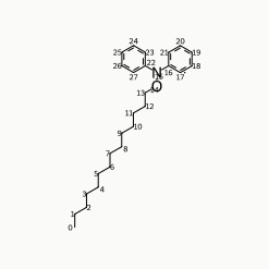 CCCCCCCCCCCCCCON(c1[c]cccc1)c1ccccc1